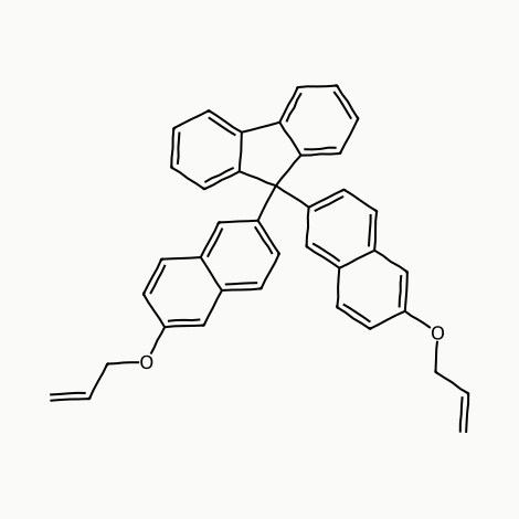 C=CCOc1ccc2cc(C3(c4ccc5cc(OCC=C)ccc5c4)c4ccccc4-c4ccccc43)ccc2c1